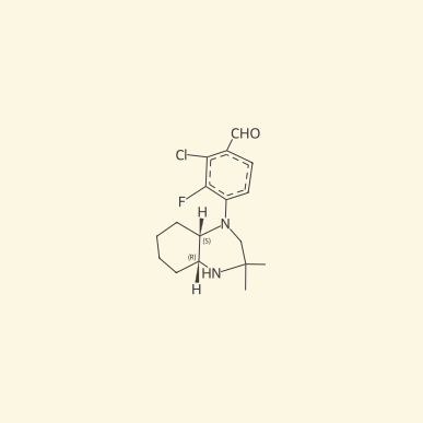 CC1(C)CN(c2ccc(C=O)c(Cl)c2F)[C@H]2CCCC[C@H]2N1